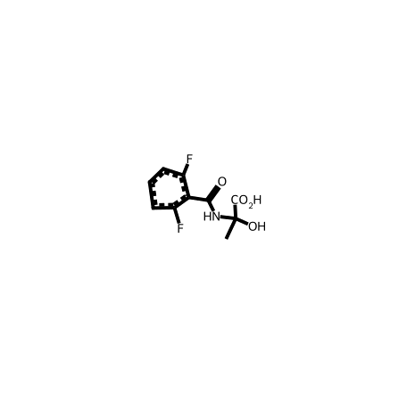 CC(O)(NC(=O)c1c(F)cccc1F)C(=O)O